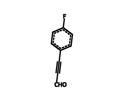 O=CC#Cc1ccc(F)cc1